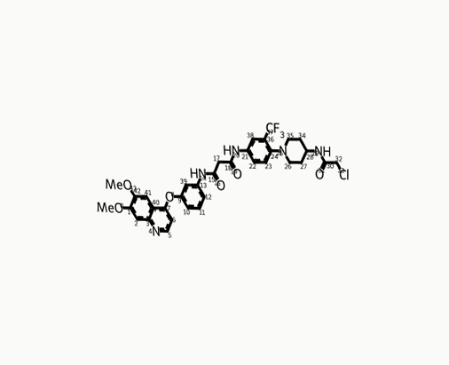 COc1cc2nccc(Oc3cccc(NC(=O)CC(=O)Nc4ccc(N5CCC(NC(=O)CCl)CC5)c(C(F)(F)F)c4)c3)c2cc1OC